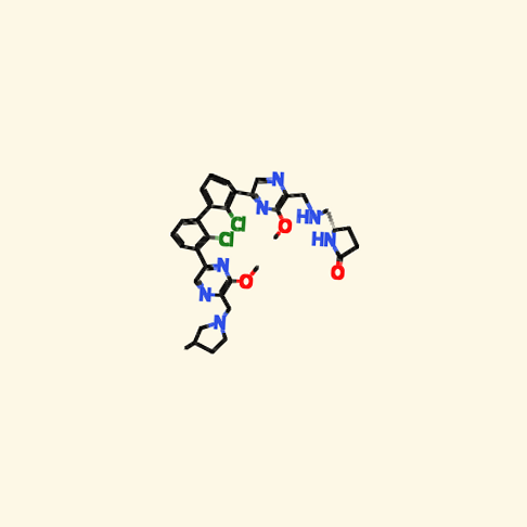 COc1nc(-c2cccc(-c3cccc(-c4cnc(CN5CCC(C)C5)c(OC)n4)c3Cl)c2Cl)cnc1CNC[C@@H]1CCC(=O)N1